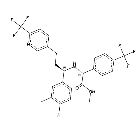 CNC(=O)[C@H](N[C@H](CCc1ccc(C(F)(F)F)nc1)c1ccc(F)c(C)c1)c1ccc(C(F)(F)F)cc1